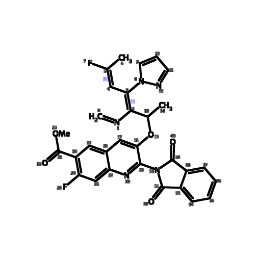 C=N/C(=C(\C=C(/C)F)n1cccn1)C(C)Oc1cc2cc(C(=O)OC)c(F)cc2nc1N1C(=O)c2ccccc2C1=O